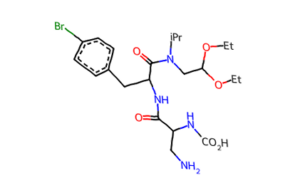 CCOC(CN(C(=O)C(Cc1ccc(Br)cc1)NC(=O)C(CN)NC(=O)O)C(C)C)OCC